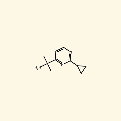 CC(C)(N)c1ccnc(C2CC2)n1